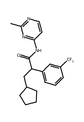 Cc1nccc(NC(=O)C(CC2CCCC2)c2cccc(C(F)(F)F)c2)n1